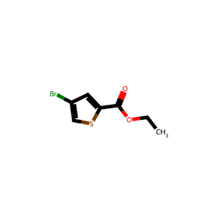 CCOC(=O)c1cc(Br)cs1